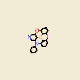 Cc1cccc2c1B1c3c(I)cccc3Oc3cncc(c31)N2c1ccccc1